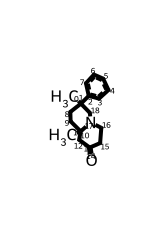 CC1(c2ccccc2)CCC2(C)CC(=O)CCN2C1